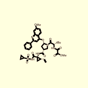 C=C[C@@H]1C[C@]1(NC(=O)[C@@H]1C[C@H](Oc2cc(-c3ccccc3)nc3cc(OC)ccc23)N(C(=O)[C@@H](NC(=O)C(=O)OC)C(C)(C)C)C1)C(=O)NS(=O)(=O)C1CC1